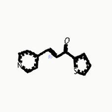 O=C(/C=C/c1ccncc1)c1cccs1